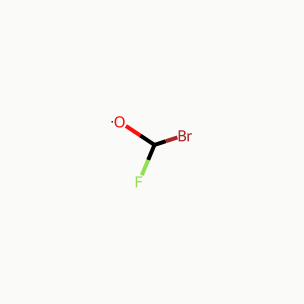 [O]C(F)Br